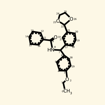 CCOc1ccc(C(NC(=O)c2ccccc2)c2cccc(C3OCCO3)c2)cc1